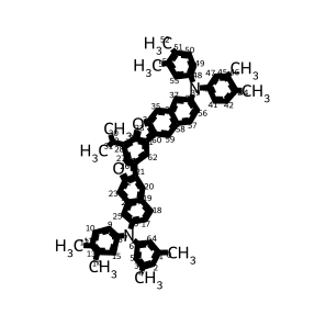 Cc1cc(C)cc(N(c2ccc(C)c(C)c2)c2ccc3cc4c(cc3c2)oc2c(C(C)C)c3oc5cc6cc(N(c7ccc(C)c(C)c7)c7ccc(C)c(C)c7)ccc6cc5c3cc24)c1